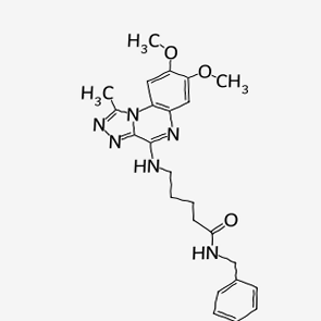 COc1cc2nc(NCCCCC(=O)NCc3ccccc3)c3nnc(C)n3c2cc1OC